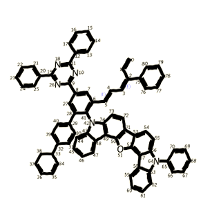 C=C/C(=C\C=C\c1cc(-c2nc(-c3ccccc3)nc(-c3ccccc3)n2)cc(-c2ccc(C3C=CC=CC3)cc2)c1-n1c2ccccc2c2c3oc4c(ccc5c4c4ccccc4n5-c4ccccc4)c3ccc21)c1ccccc1